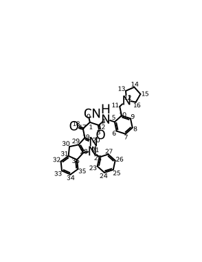 N#CC(C(=O)Nc1ccccc1CN1CCCC1)C(=O)c1nn(-c2ccccc2)c2c1Cc1ccccc1-2